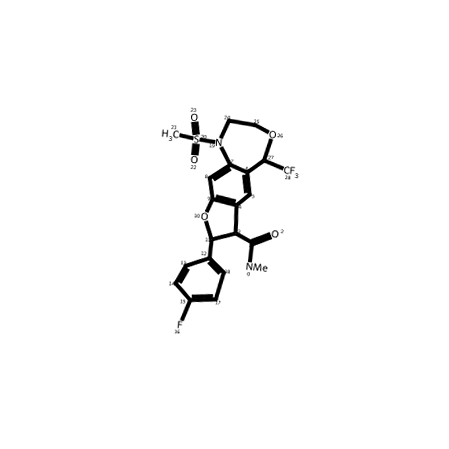 CNC(=O)C1c2cc3c(cc2OC1c1ccc(F)cc1)N(S(C)(=O)=O)CCOC3C(F)(F)F